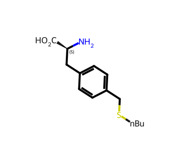 CCCCSCc1ccc(C[C@H](N)C(=O)O)cc1